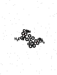 Cc1ccc(-c2cc(C)cnc2N(c2ccc(C(C)(C)C)cc2)c2ccc3c(c2)C(c2ccccc2)(c2ccccc2)c2cc(N(c4ccc(C(C)(C)C)cc4)c4ncccc4-c4ccc(C)cc4)c4c(oc5ccccc54)c2-3)cc1